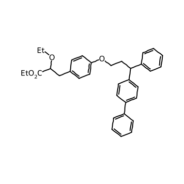 CCOC(=O)C(Cc1ccc(OCCC(c2ccccc2)c2ccc(-c3ccccc3)cc2)cc1)OCC